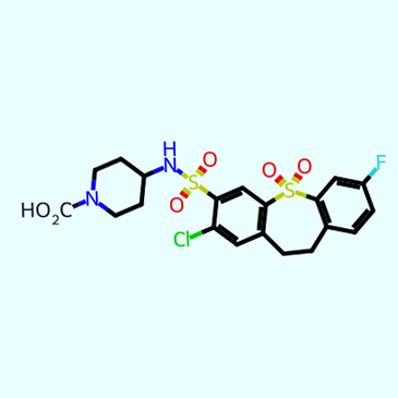 O=C(O)N1CCC(NS(=O)(=O)c2cc3c(cc2Cl)CCc2ccc(F)cc2S3(=O)=O)CC1